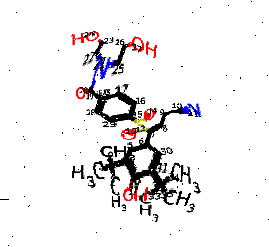 CC(C)(C)c1cc(C(=CCC#N)S(=O)(=O)c2ccc(C(=O)N(CCO)CCO)cc2)cc(C(C)(C)C)c1O